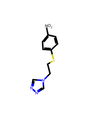 O=[N+]([O-])c1ccc(SCCn2cnnc2)cc1